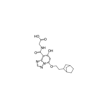 O=C(O)CNC(=O)c1c(O)cc(OCCC2CC3CCC2C3)n2ncnc12